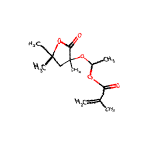 C=C(C)C(=O)OC(C)OC1(C)CC(C)(C)OC1=O